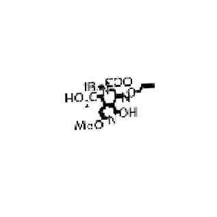 C=CCON=C1C[N+](C(=O)[O-])(C(C)(C)C)C(C(=O)O)c2cc(OC)nc(O)c21